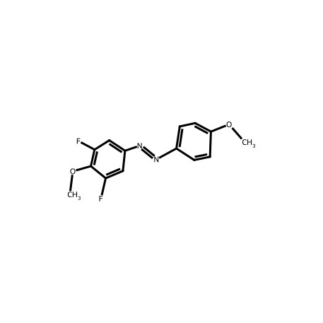 COc1ccc(/N=N/c2cc(F)c(OC)c(F)c2)cc1